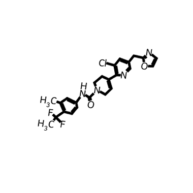 Cc1cc(NC(=O)N2CC=C(c3ncc(Cc4ncco4)cc3Cl)CC2)ccc1C(C)(F)F